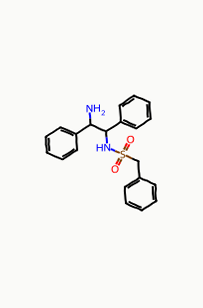 NC(c1ccccc1)C(NS(=O)(=O)Cc1ccccc1)c1ccccc1